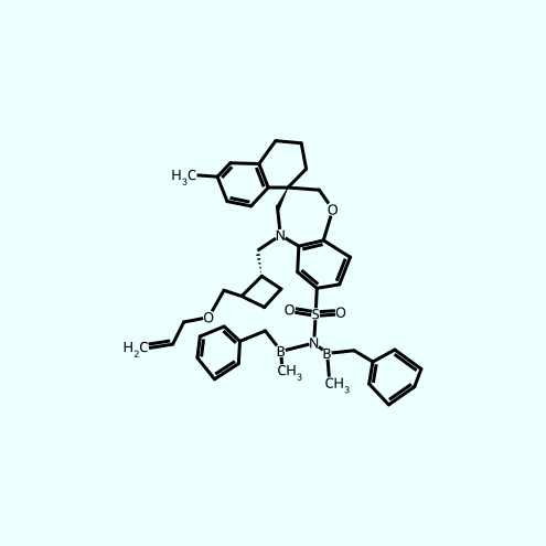 C=CCOCC1CC[C@H]1CN1C[C@@]2(CCCc3cc(C)ccc32)COc2ccc(S(=O)(=O)N(B(C)Cc3ccccc3)B(C)Cc3ccccc3)cc21